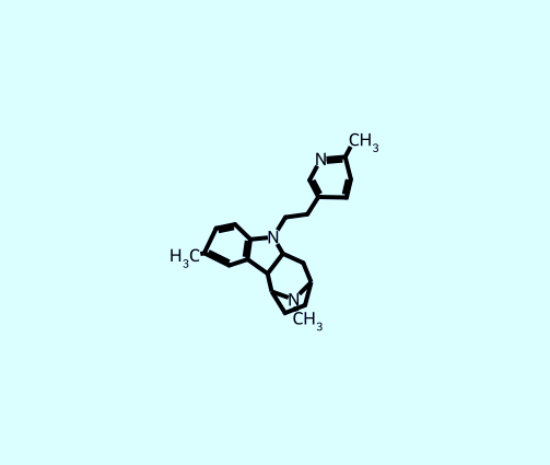 Cc1ccc2c(c1)C1C(CC3CCC1N3C)N2CCc1ccc(C)nc1